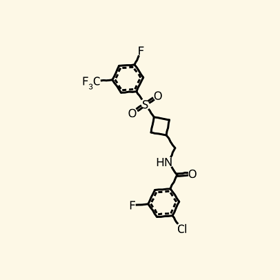 O=C(NCC1CC(S(=O)(=O)c2cc(F)cc(C(F)(F)F)c2)C1)c1cc(F)cc(Cl)c1